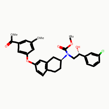 COC(=O)c1cc(OC)cc(Oc2ccc3c(c2)C[C@@H](N(C[C@H](O)c2cccc(Cl)c2)C(=O)OC(C)(C)C)CC3)c1